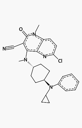 Cn1c(=O)c(C#N)c(N(C)[C@H]2CC[C@H](N(c3ccccc3)C3CC3)CC2)c2nc(Cl)ccc21